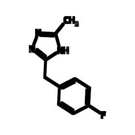 Cc1nnc(Cc2ccc(F)cc2)[nH]1